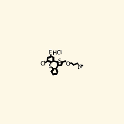 CN(C)CCCOCc1cc2c(s1)-c1cc(F)cc(Cl)c1Sc1ccccc1-2.Cl